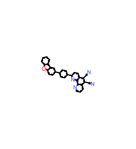 N#Cc1c(C#N)c2ccc(-c3ccc(-c4ccc5oc6ccccc6c5c4)cc3)nc2c2ncccc12